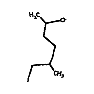 CC([O])CCC(C)CI